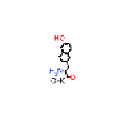 N[C@@H](Cc1ccc2cc(O)ccc2c1)C(=O)C=O